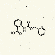 O=C(Nc1ccccc1C(=O)O)OCc1ccccn1